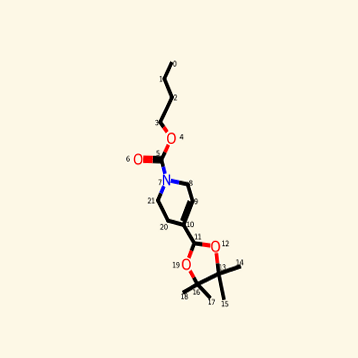 CCCCOC(=O)N1CC=C(C2OC(C)(C)C(C)(C)O2)CC1